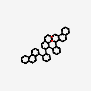 c1ccc(-c2cccc3c2ccc2ccccc23)c(-c2ccc3ccccc3c2-c2ccccc2-c2cccc3c2ccc2ccccc23)c1